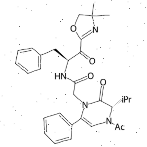 CC(=O)N1C=C(c2ccccc2)N(CC(=O)N[C@@H](Cc2ccccc2)C(=O)C2=NC(C)(C)CO2)C(=O)[C@@H]1C(C)C